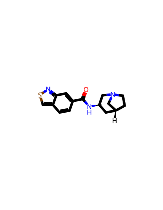 O=C(N[C@@H]1C[C@H]2CCN(C2)C1)c1ccc2csnc2c1